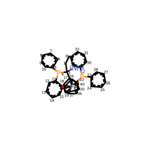 CCC(N)(P(c1ccccc1)c1ccccc1)[C]12[CH]3[CH]4[CH]5[C]1(P(c1ccccc1)c1ccccc1)[Fe]45321678[CH]2[CH]1[CH]6[CH]7[CH]28